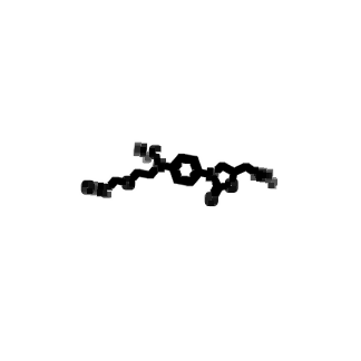 CN(CCOCC=O)c1ccc(N2CC(CN)OC2=O)cc1